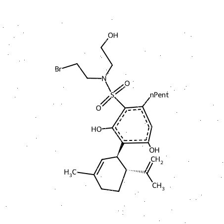 C=C(C)[C@@H]1CCC(C)=C[C@H]1c1c(O)cc(CCCCC)c(S(=O)(=O)N(CCO)CCBr)c1O